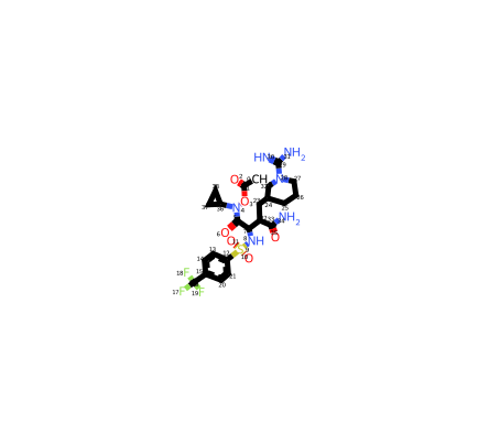 CC(=O)ON(C(=O)C(NS(=O)(=O)c1ccc(C(F)(F)F)cc1)C(CC1CCCN(C(=N)N)C1)C(N)=O)C1CC1